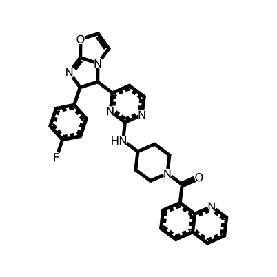 O=C(c1cccc2cccnc12)N1CCC(Nc2nccc(C3C(c4ccc(F)cc4)N=C4OC=CN43)n2)CC1